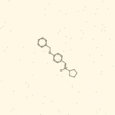 [O-][N+](=Cc1ccc(OCc2ccccc2)cc1)C1CCCC1